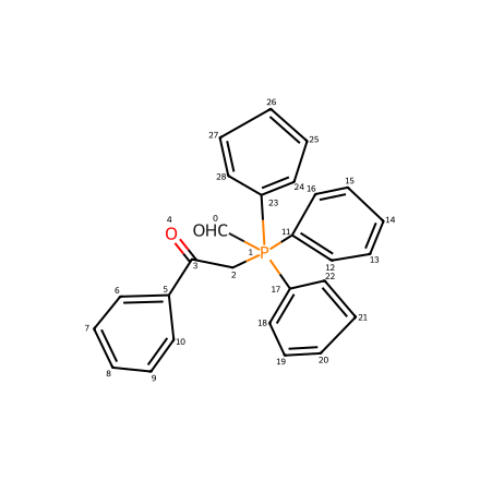 O=CP(CC(=O)c1ccccc1)(c1ccccc1)(c1ccccc1)c1ccccc1